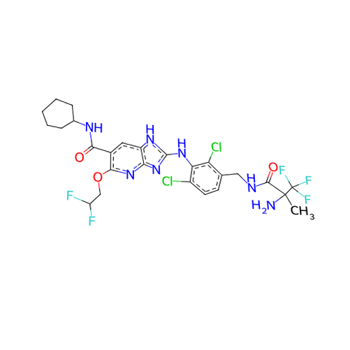 CC(N)(C(=O)NCc1ccc(Cl)c(Nc2nc3nc(OCC(F)F)c(C(=O)NC4CCCCC4)cc3[nH]2)c1Cl)C(F)(F)F